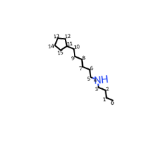 CCCCNCCCCCCC1CCCC1